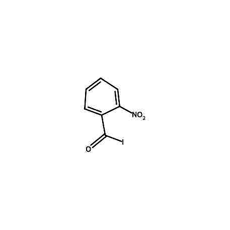 O=C(I)c1ccccc1[N+](=O)[O-]